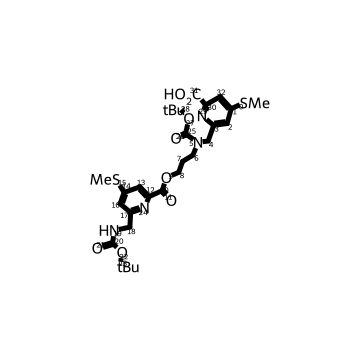 CSc1cc(CN(CCCOC(=O)c2cc(SC)cc(CNC(=O)OC(C)(C)C)n2)C(=O)OC(C)(C)C)nc(C(=O)O)c1